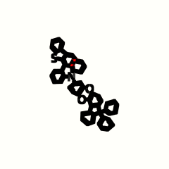 c1ccc(N(c2ccc3c(c2)Oc2ccc4c(c2O3)-c2ccccc2C4(c2ccccc2)c2ccccc2)c2ccccc2-c2cccc3c2sc2ccccc23)cc1